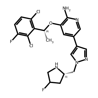 C[C@@H](Oc1cc(-c2cnn(C[C@@H]3CC(F)CN3)c2)cnc1N)c1c(Cl)ccc(F)c1Cl